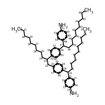 CCCCCCCCCCC(c1ccc(N)cc1)c1ccc(CC(CCCCCCCCC)c2ccc(C(CCCCCCCCCC)c3ccc(N)cc3)cc2)cc1